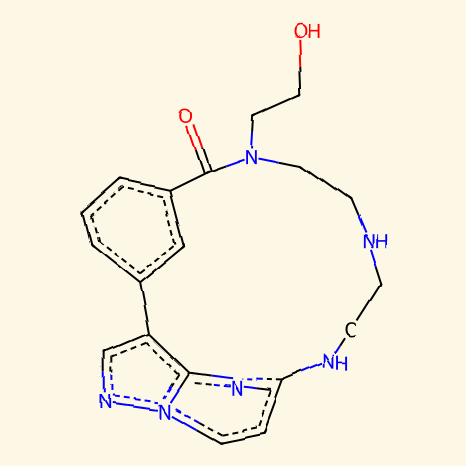 O=C1c2cccc(c2)-c2cnn3ccc(nc23)NCCNCCN1CCO